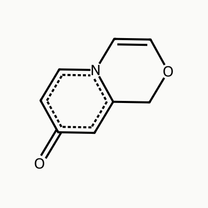 O=c1ccn2c(c1)COC=C2